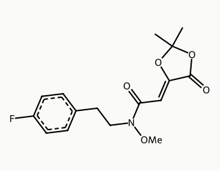 CON(CCc1ccc(F)cc1)C(=O)/C=C1\OC(C)(C)OC1=O